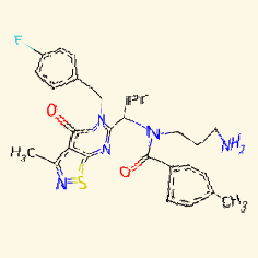 Cc1ccc(C(=O)N(CCCN)C(c2nc3snc(C)c3c(=O)n2Cc2ccc(F)cc2)C(C)C)cc1